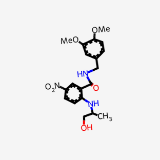 COc1ccc(CNC(=O)c2cc([N+](=O)[O-])ccc2NC(C)CO)cc1OC